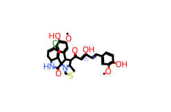 COc1cc(/C=C/C(O)=C/C(=O)C2C3CSCN3C3(C(=O)NC4CC=C(Cl)C=C43)C2c2ccc(O)c(OC)c2)ccc1O